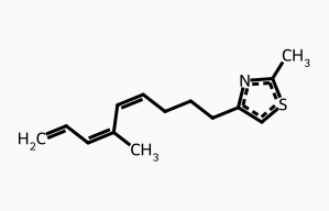 C=C/C=C(C)\C=C/CCCc1csc(C)n1